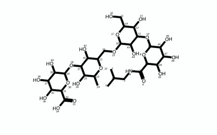 CC(C)CNC(=O)C1OC(OC2C(O)C(CO)OC(OCC3OC(C)C(O)C(OC4OC(C(=O)O)C(O)C(O)C4O)C3O)C2O)C(O)C(O)C1O